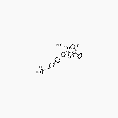 COCOc1ccc(F)cc1[C@@H](C(=O)Nc1nccs1)N1Cc2ccc(-c3ccc(N4CCN(CCNC(=O)O)CC4)cc3)cc2C1=O